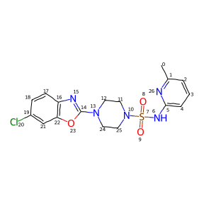 Cc1cccc(NS(=O)(=O)N2CCN(c3nc4ccc(Cl)cc4o3)CC2)n1